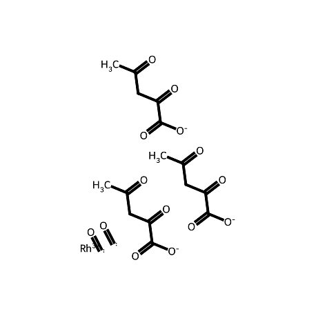 CC(=O)CC(=O)C(=O)[O-].CC(=O)CC(=O)C(=O)[O-].CC(=O)CC(=O)C(=O)[O-].[C]=O.[C]=O.[Rh+3]